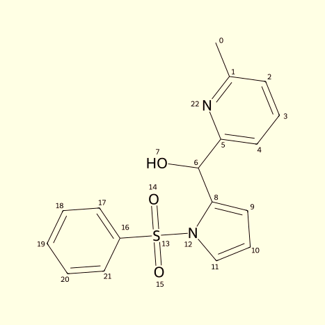 Cc1cccc(C(O)c2cccn2S(=O)(=O)c2ccccc2)n1